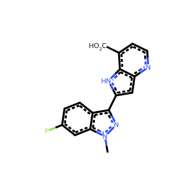 Cn1nc(-c2cc3nccc(C(=O)O)c3[nH]2)c2ccc(F)cc21